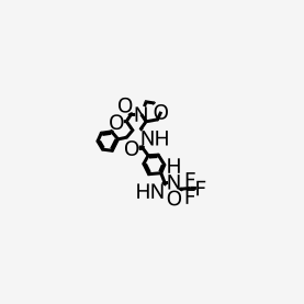 N=C(NC(=O)C(F)(F)F)c1ccc(C(=O)NCC2COCCN2C(=O)C2CCc3ccccc3O2)cc1